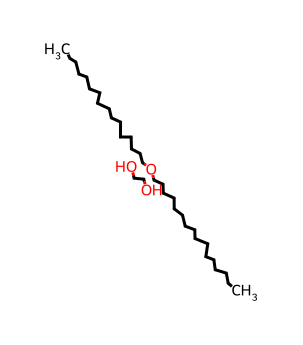 CCCCCCCCCCCCCCCCOCCCCCCCCCCCCCCCC.OCCO